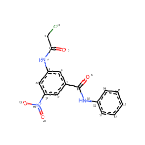 O=C(CCl)Nc1cc(C(=O)Nc2ccccc2)cc([N+](=O)[O-])c1